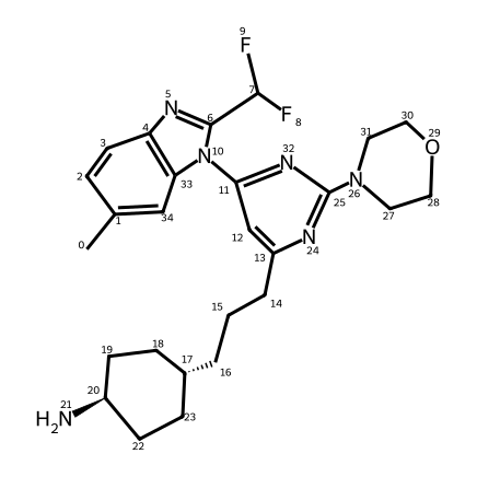 Cc1ccc2nc(C(F)F)n(-c3cc(CCC[C@H]4CC[C@H](N)CC4)nc(N4CCOCC4)n3)c2c1